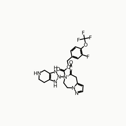 O=C=C1Cc2ccnn2CC[N+]1(C(=O)OCc1ccc(OC(F)(F)F)c(F)c1)N1NC2=C(CNCC2)N1